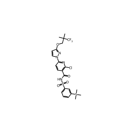 CC(C)(COc1ccn(-c2ccc(C(=O)NS(=O)(=O)c3cccc(S(C)(C)C)c3)c(Cl)n2)n1)C(F)(F)F